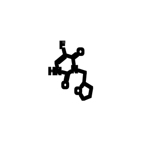 O=c1[nH]cc(F)c(=O)n1CC1CCCO1